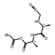 C[C@H](NCB=O)C(=O)N[C@@H](C)C(=O)OC(=O)C(C)(C)C